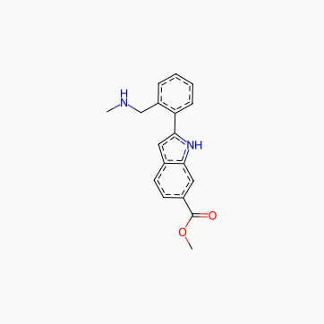 CNCc1ccccc1-c1cc2ccc(C(=O)OC)cc2[nH]1